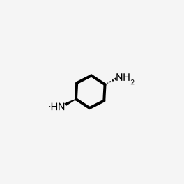 [NH][C@H]1CC[C@H](N)CC1